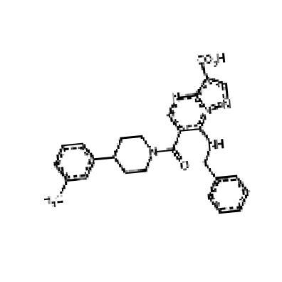 Cc1cccc(C2CCN(C(=O)c3cnc4c(C(=O)O)cnn4c3NCc3ccccc3)CC2)c1